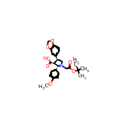 COc1ccc([C@@H]2[C@@H](C(=O)O)[C@@H](c3ccc4c(c3)OCO4)CN2CC(=O)OC(C)(C)C)cc1